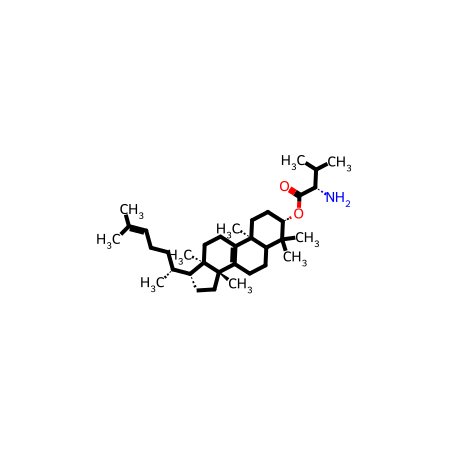 CC(C)=CCC[C@@H](C)[C@H]1CC[C@@]2(C)C3=C(CC[C@]12C)[C@@]1(C)CC[C@H](OC(=O)[C@@H](N)C(C)C)C(C)(C)C1CC3